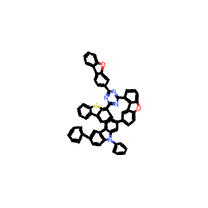 c1ccc(-c2ccc3c(c2)c2ccc(-c4ccc5oc6cccc(-c7nc(-c8ccc9c(c8)oc8ccccc89)nc(-c8cccc9c8sc8ccccc89)n7)c6c5c4)cc2n3-c2ccccc2)cc1